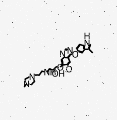 COc1cc2c(Oc3ccc4[nH]cc(C)c4c3)ncnc2cc1OCC(O)CNCCCN1CCN(C)CC1